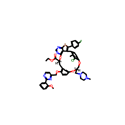 CCOC(=O)[C@H]1Cc2cc(ccc2OCc2ccnc(-c3ccccc3OC)n2)O[C@@H](CN2CCN(C)CC2)COc2ccc(c(C)c2Cl)-c2c(-c3ccc(F)cc3)sc3ncnc(c23)O1